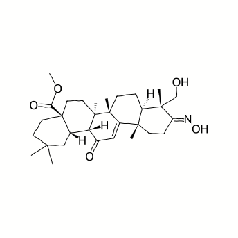 COC(=O)[C@]12CCC(C)(C)C[C@H]1[C@H]1C(=O)C=C3[C@@]4(C)CC/C(=N\O)[C@@](C)(CO)[C@@H]4CC[C@@]3(C)[C@]1(C)CC2